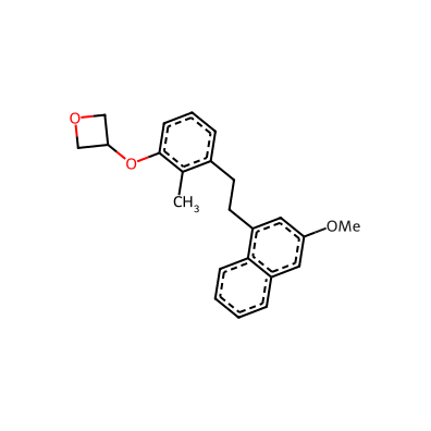 COc1cc(CCc2cccc(OC3COC3)c2C)c2ccccc2c1